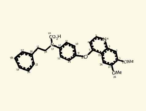 COc1cc2nccc(Oc3ccc(N(CCc4ccccc4)C(=O)O)cc3)c2cc1OC